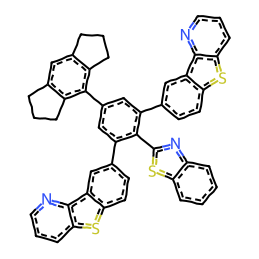 c1ccc2sc(-c3c(-c4ccc5sc6cccnc6c5c4)cc(-c4c5c(cc6c4CCC6)CCC5)cc3-c3ccc4sc5cccnc5c4c3)nc2c1